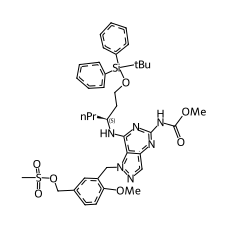 CCC[C@@H](CCO[Si](c1ccccc1)(c1ccccc1)C(C)(C)C)Nc1nc(NC(=O)OC)nc2cnn(Cc3cc(COS(C)(=O)=O)ccc3OC)c12